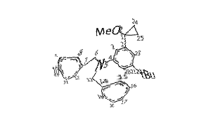 COC1(c2cc(N(Cc3ccccc3)Cc3ccccc3)cc(C(C)(C)C)c2)CC1